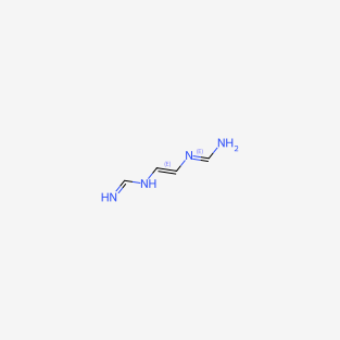 N=CN/C=C/N=C/N